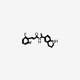 CC(NC(=O)C=Cc1c(F)cccc1F)c1ccc2c(c1)CCCN2